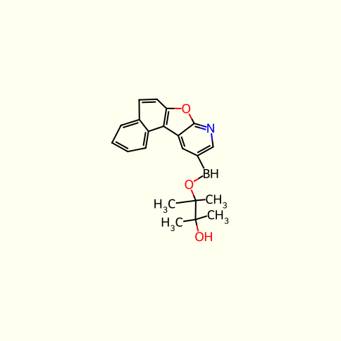 CC(C)(O)C(C)(C)OBc1cnc2oc3ccc4ccccc4c3c2c1